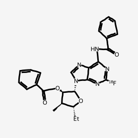 CC[C@H]1O[C@@H](n2cnc3c(NC(=O)c4ccccc4)nc([18F])nc32)[C@H](OC(=O)c2ccccc2)[C@@H]1C